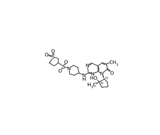 Cc1cc2cnc(NC3CCN(S(=O)(=O)C4CCS(=O)(=O)C4)CC3)nc2n([C@H]2CCC[C@]2(C)O)c1=O